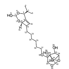 CC(C)[C@@H]1OC(O)O[C@@H]2C1=CC2CCCCCCOC1C2OC3OC(C2O)C(O)C1O3